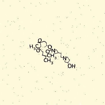 CC(C)=CC[C@H]1O[C@]1(C)[C@H]1C[C@H](OC(=O)N2CC(CCN3CC[C@H](O)C3)C2)CC[C@]12CO2